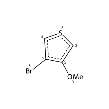 COc1cscc1Br